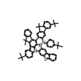 CC(C)(C)c1ccc(N2B3c4cc5c(cc4-n4c6ccc(C(C)(C)C)cc6c6c7c(c(c3c64)-c3cc4c(cc32)-c2cc(C(C)(C)C)ccc2C4(C)C)-c2ccccc2C7(C)C)sc2ccccc25)cc1